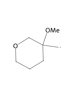 [CH2]C1(OC)CCCOC1